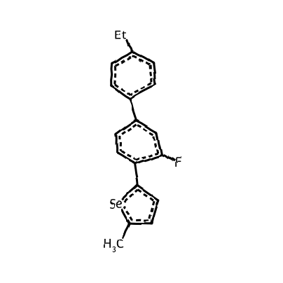 CCc1ccc(-c2ccc(-c3ccc(C)[se]3)c(F)c2)cc1